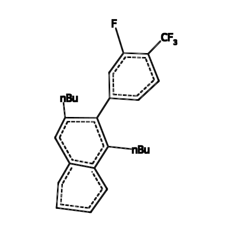 CCCCc1cc2ccccc2c(CCCC)c1-c1ccc(C(F)(F)F)c(F)c1